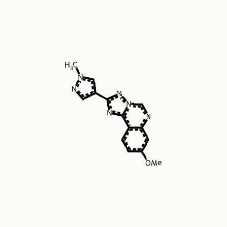 COc1ccc2c(c1)ncn1nc(-c3cnn(C)c3)nc21